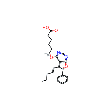 CCCC=Cc1c(-c2ccccc2)oc2ncnc(O[C@H](C)CCCCC(=O)O)c12